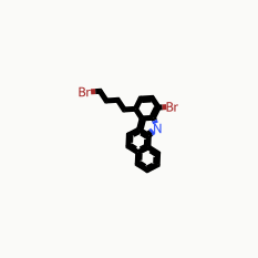 BrCCCCC1C=CC(Br)=C2N=c3c(ccc4ccccc34)=C21